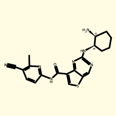 Cc1nc(NC(=O)c2csc3cnc(N[C@@H]4CCCC[C@@H]4N)nc23)ccc1C#N